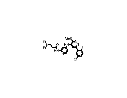 CCN(CC)CCC(=O)Nc1cc(Nc2cc(-c3cc(Cl)ccc3F)nnc2SC)ccn1